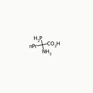 CCCC(N)(P)C(=O)O